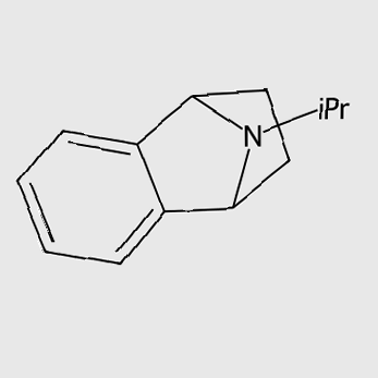 CC(C)N1C2CCC1c1ccccc12